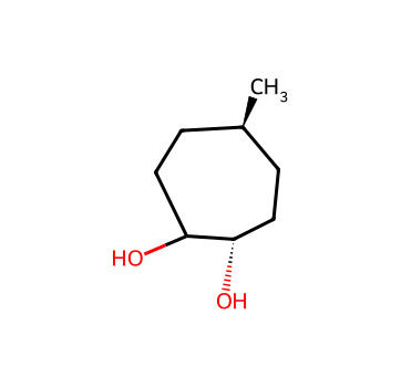 C[C@@H]1CCC(O)[C@@H](O)CC1